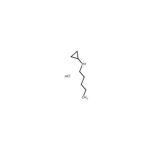 CCCCCPC1CC1.Cl